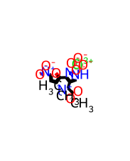 COC(=O)C(c1c[nH]nc1-c1ccc([N+](=O)[O-])o1)=[N+](C)C.[O-][Cl+3]([O-])([O-])[O-]